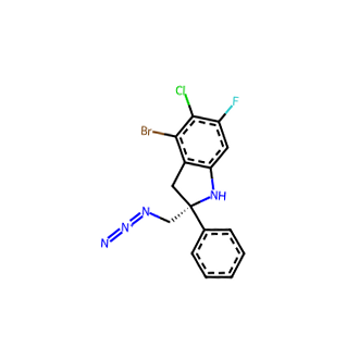 [N-]=[N+]=NC[C@]1(c2ccccc2)Cc2c(cc(F)c(Cl)c2Br)N1